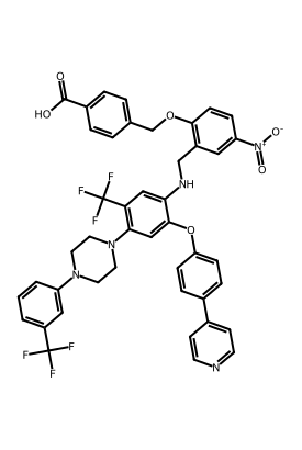 O=C(O)c1ccc(COc2ccc([N+](=O)[O-])cc2CNc2cc(C(F)(F)F)c(N3CCN(c4cccc(C(F)(F)F)c4)CC3)cc2Oc2ccc(-c3ccncc3)cc2)cc1